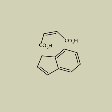 C1=Cc2ccccc2C1.O=C(O)/C=C\C(=O)O